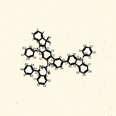 CC1(C)c2ccccc2-c2c1c1cc3c4cc(-c5ccc6c(c5)c5ccccc5n6-c5ccccc5)ccc4n(-c4nc(-c5ccccc5)c5ccccc5n4)c3cc1n2-c1ccccc1